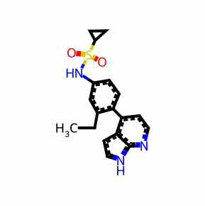 CCc1cc(NS(=O)(=O)C2CC2)ccc1-c1ccnc2[nH]ccc12